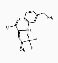 C=C(/C=C(\Nc1cccc(CN)c1)C(C)=O)C(F)(F)F